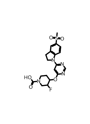 CS(=O)(=O)c1ccc2c(c1)CCN2c1cc(OC2CCN(C(=O)O)CC2F)ncn1